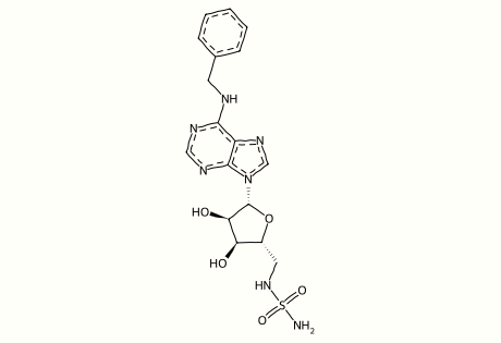 NS(=O)(=O)NC[C@H]1O[C@@H](n2cnc3c(NCc4ccccc4)ncnc32)[C@H](O)[C@@H]1O